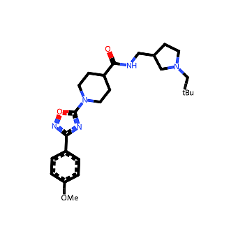 COc1ccc(-c2noc(N3CCC(C(=O)NCC4CCN(CC(C)(C)C)C4)CC3)n2)cc1